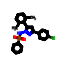 Cc1cccc(C)c1-c1cc(-c2ccc(Cl)cc2)nn1NS(=O)(=O)c1ccccc1